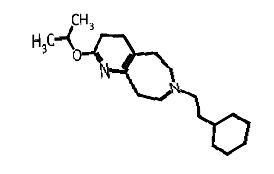 CC(C)OC1=NC2=C(CC1)CCN(CCC1CCCCC1)CC2